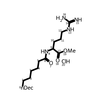 CCCCCCCCCCCCCCCC(=O)NC(CCCNC(=N)N)C(=O)OC.Cl